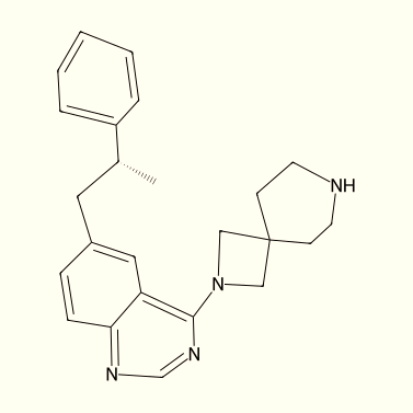 C[C@H](Cc1ccc2ncnc(N3CC4(CCNCC4)C3)c2c1)c1ccccc1